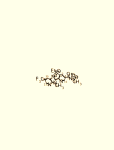 CCS(=O)(=O)c1cc(C(=O)N=S(C)(=O)CC)cnc1-c1nc2cc(C(F)(F)F)cnc2n1C